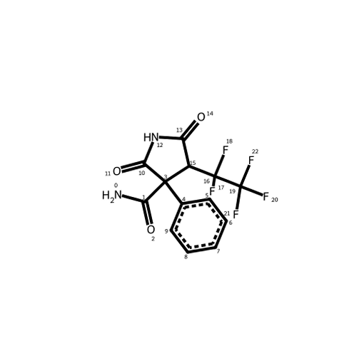 NC(=O)C1(c2ccccc2)C(=O)NC(=O)C1C(F)(F)C(F)(F)F